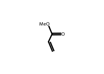 [CH2]OC(=O)C=C